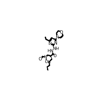 CCCCC[C@@H](CN(O)C=O)C(=O)NNc1nc(CC)cc(N2CCOCC2)n1